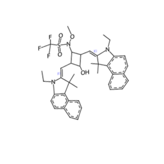 CCN1/C(=C/C2C(O)C(/C=C3/N(CC)c4ccc5ccccc5c4C3(C)C)C2N(OC)S(=O)(=O)C(F)(F)F)C(C)(C)c2c1ccc1ccccc21